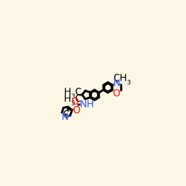 CN1CCOc2cc(-c3ccc4c(c3)CC(C)(C)C4NC(=O)OC3CN4CCC3CC4)ccc21